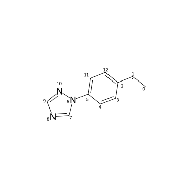 C[CH]c1ccc(-n2cncn2)cc1